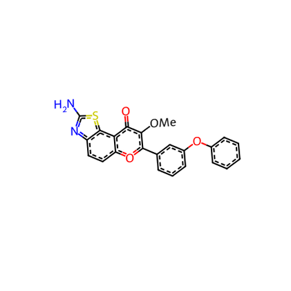 COc1c(-c2cccc(Oc3ccccc3)c2)oc2ccc3nc(N)sc3c2c1=O